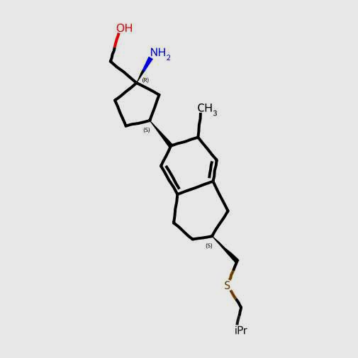 CC(C)CSC[C@H]1CCC2=CC([C@H]3CC[C@](N)(CO)C3)C(C)C=C2C1